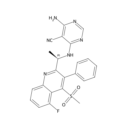 C[C@@H](Nc1ncnc(N)c1C#N)c1nc2cccc(F)c2c(S(C)(=O)=O)c1-c1ccccc1